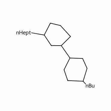 CCCCCCCC1CCCC(C2CCC(CCCC)CC2)C1